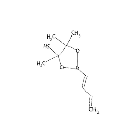 C=C/C=C/B1OC(C)(C)C(C)(S)O1